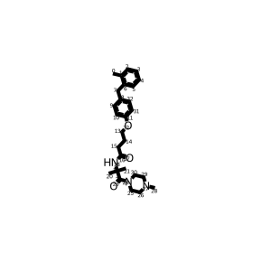 Cc1ccccc1Cc1ccc(OCCCC(=O)NC(C)(C)C(=O)N2CCN(C)CC2)cc1